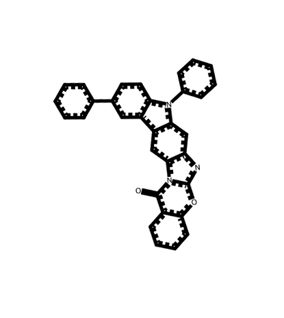 O=c1c2ccccc2oc2nc3cc4c(cc3n12)c1cc(-c2ccccc2)ccc1n4-c1ccccc1